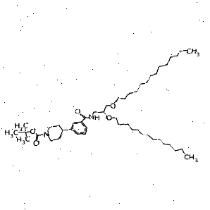 CCCCCCCCCCCCCCOCC(CNC(=O)c1cccc(C2CCN(C(=O)OC(C)(C)C)CC2)c1)OCCCCCCCCCCCCCC